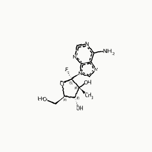 C[C@@]1(O)[C@H](O)[C@@H](CO)O[C@@]1(F)n1cnc2c(N)ncnc21